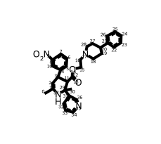 CC1=CC(c2cccc([N+](=O)[O-])c2)C(C(=O)OCCN2CCC(c3ccccc3)CC2)C(C)(c2cccnc2)N1